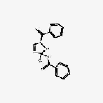 NC1(NC(=O)c2ccccc2)N=CN(C(=O)c2ccccc2)N1